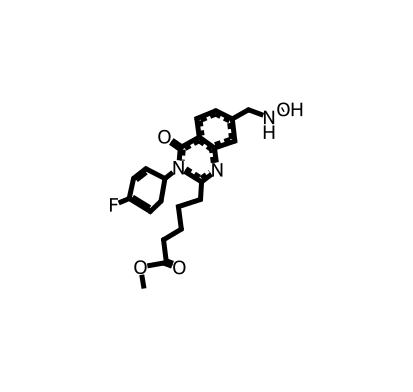 COC(=O)CCCCc1nc2cc(CNO)ccc2c(=O)n1C1C=CC(F)=CC1